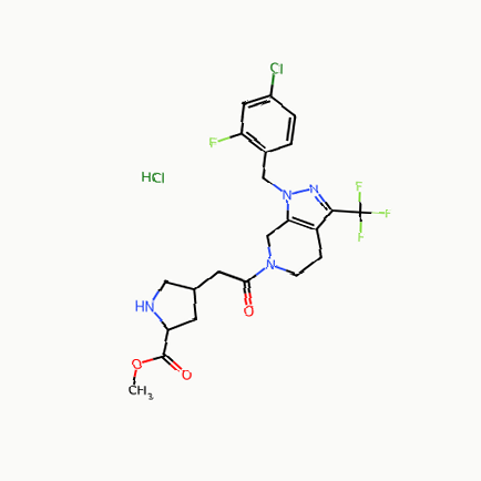 COC(=O)C1CC(CC(=O)N2CCc3c(C(F)(F)F)nn(Cc4ccc(Cl)cc4F)c3C2)CN1.Cl